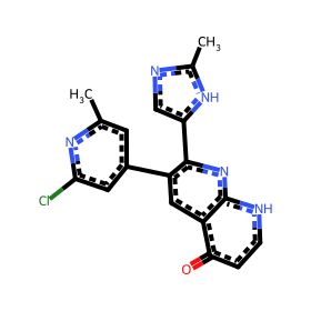 Cc1cc(-c2cc3c(=O)cc[nH]c3nc2-c2cnc(C)[nH]2)cc(Cl)n1